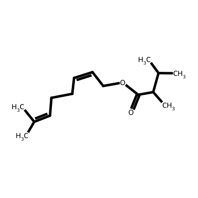 CC(C)=CCC/C=C\COC(=O)C(C)C(C)C